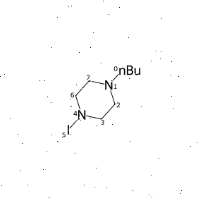 CCCCN1CCN(I)CC1